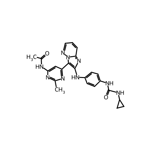 CC(=O)Nc1cc(-c2c(Nc3ccc(NC(=O)NC4CC4)cc3)nc3cccnn23)nc(C)n1